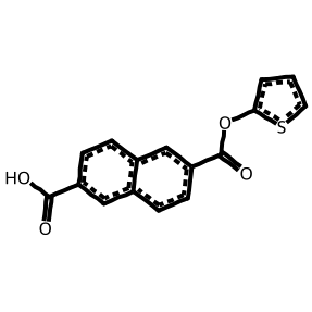 O=C(O)c1ccc2cc(C(=O)Oc3cccs3)ccc2c1